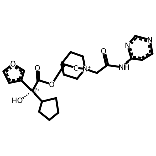 O=C(C[N+]12CCC(CC1)C(OC(=O)[C@](O)(c1ccoc1)C1CCCC1)C2)Nc1ccncn1